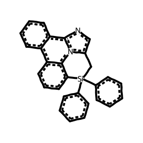 c1ccc([Si]2(c3ccccc3)Cc3cnc4c5ccccc5c5cccc2c5n34)cc1